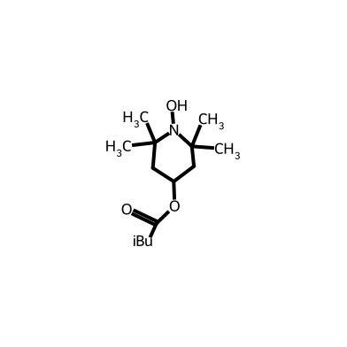 CCC(C)C(=O)OC1CC(C)(C)N(O)C(C)(C)C1